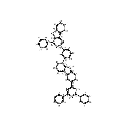 c1ccc(-c2nc(-c3ccccc3)nc(-c3ccc4sc5c(-c6cccc(-c7nc(-c8ccccc8)c8oc9ccccc9c8n7)c6)cccc5c4c3)n2)cc1